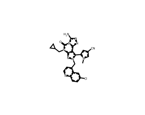 Cn1cc(C#N)cc1-c1c2c(nn1Cc1ccnc3ccc(Cl)cc13)n(CC1CC1)c(=O)n1c(N)nnc21